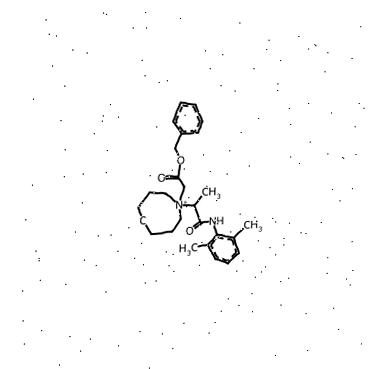 Cc1cccc(C)c1NC(=O)C(C)[N+]1(CC(=O)OCc2ccccc2)CCCCCCC1